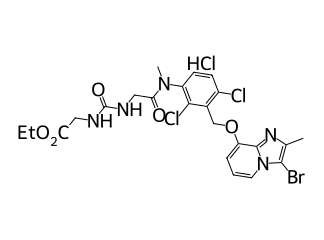 CCOC(=O)CNC(=O)NCC(=O)N(C)c1ccc(Cl)c(COc2cccn3c(Br)c(C)nc23)c1Cl.Cl